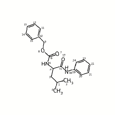 CC(C)CC(NC(=O)OCc1ccccc1)C(=O)Nc1ccccc1